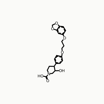 O=C(O)N1CCC(c2ccc(OCCCOc3ccc4c(c3)OCO4)cc2)C(O)C1